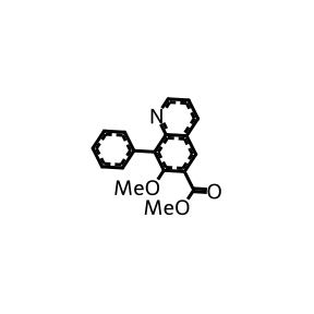 COC(=O)c1cc2cccnc2c(-c2ccccc2)c1OC